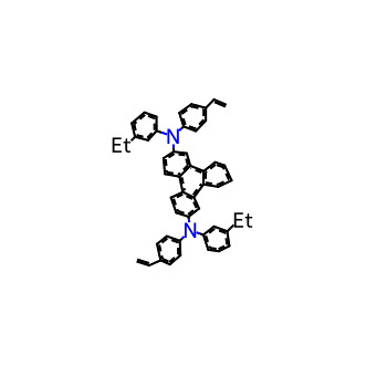 C=Cc1ccc(N(c2cccc(CC)c2)c2ccc3c4ccc(N(c5ccc(C=C)cc5)c5cccc(CC)c5)cc4c4ccccc4c3c2)cc1